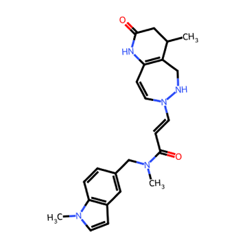 CC1CC(=O)NC2=C1CNN(C=CC(=O)N(C)Cc1ccc3c(ccn3C)c1)C=C2